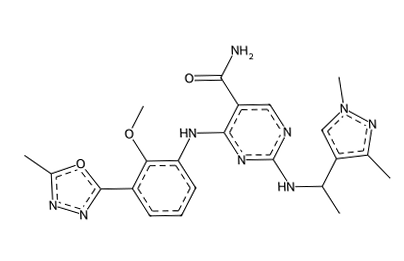 COc1c(Nc2nc(NC(C)c3cn(C)nc3C)ncc2C(N)=O)cccc1-c1nnc(C)o1